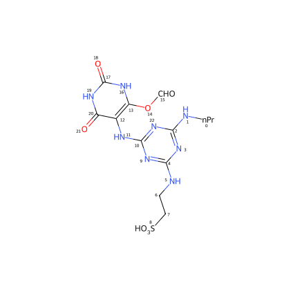 CCCNc1nc(NCCS(=O)(=O)O)nc(Nc2c(OC=O)[nH]c(=O)[nH]c2=O)n1